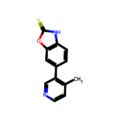 Cc1ccncc1-c1ccc2[nH]c(=S)oc2c1